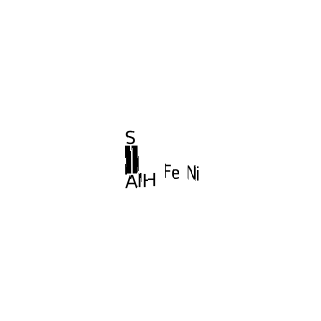 [AlH]=[S].[Fe].[Ni]